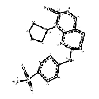 CS(=O)(=O)c1ccc(Nc2ncc3cnc(=O)n(C4CCCC4)c3n2)cc1